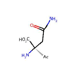 CC(=O)[C@@](N)(CC(N)=O)C(=O)O